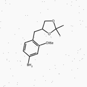 Bc1ccc(CC2COC(C)(C)O2)c(OC)c1